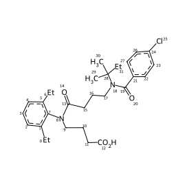 CCc1cccc(CC)c1N(CCCC(=O)O)C(=O)CCCN(C(=O)c1ccc(Cl)cc1)C(C)(C)CC